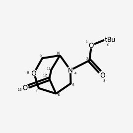 CC(C)(C)OC(=O)N1CC2COCC1CC2=O